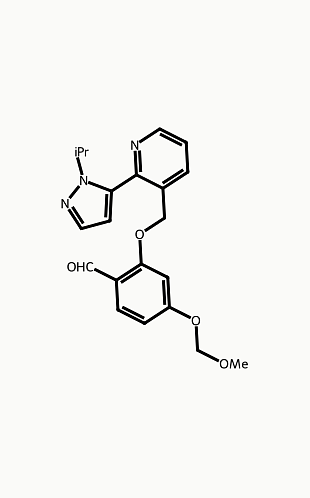 COCOc1ccc(C=O)c(OCc2cccnc2-c2ccnn2C(C)C)c1